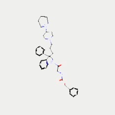 O=C(CNC(=O)OCc1ccccc1)NCC(CCCN1CCC(N2CCCCC2)CC1)(c1ccccc1)c1ccccc1